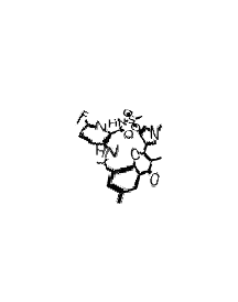 Cc1cc([C@@H](C)Nc2ccc(F)nc2C(=O)NS(C)(=O)=O)c2oc(-c3ccn(C)c3)c(C)c(=O)c2c1